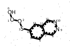 OOOSc1ccc2cnncc2c1